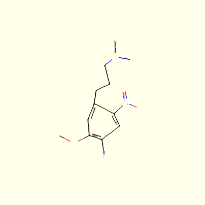 COc1cc(CCCN(C)C)c([N+](=O)[O-])cc1N